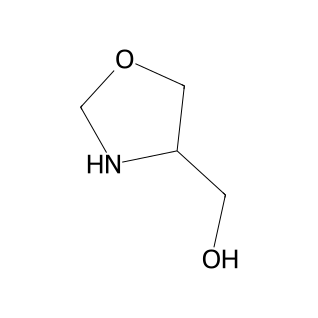 OCC1COCN1